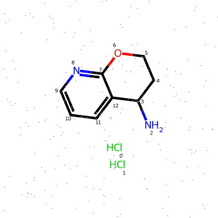 Cl.Cl.NC1CCOc2ncccc21